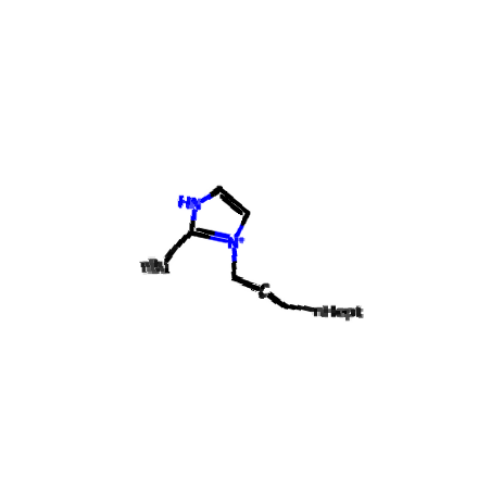 [CH2]CCCCCCCCC[n+]1cc[nH]c1CCCC